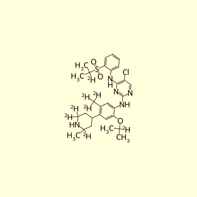 [2H]C1([2H])CC(c2cc(OC([2H])(C)C)c(Nc3ncc(Cl)c(Nc4ccccc4S(=O)(=O)C([2H])(C)C)n3)cc2C([2H])([2H])[2H])CC([2H])(C)N1